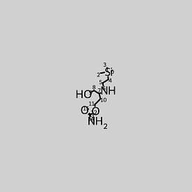 C[Si](C)(C)CCNC(CO)CCOC(N)=O